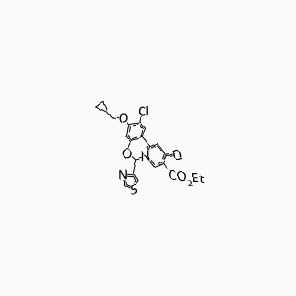 CCOC(=O)c1cn2c(cc1=O)-c1cc(Cl)c(OCC3CC3)cc1OC2c1cscn1